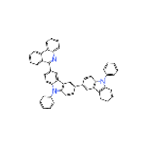 C1=Cc2c(c3cc(-c4ccc5c(c4)c4cc(-c6nc7ccccc7c7ccccc67)ccc4n5-c4ccccc4)ccc3n2-c2ccccc2)CC1